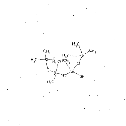 C[Si](C)(C)O[Si](C)(O)O[Si](C)(O)O[Si](C)(C)C